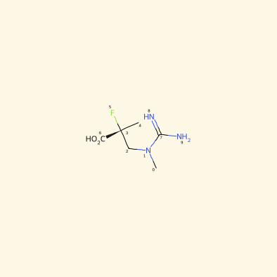 CN(C[C@@](C)(F)C(=O)O)C(=N)N